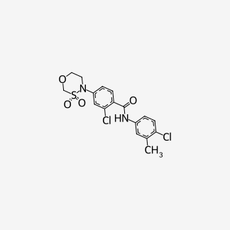 Cc1cc(NC(=O)c2ccc(N3CCOCS3(=O)=O)cc2Cl)ccc1Cl